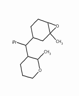 CC(C)C(C1CCC2OC2(C)C1)C1CCCOC1C